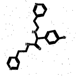 O=C(NCCc1ccncc1)C(NCCc1cccnc1)c1ccc(Br)cc1